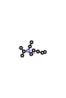 c1ccc(-c2ccc(-c3nc(-c4cc(-c5ccccc5)cc(-c5ccccc5)c4)nc(-c4cccc5oc6c(-c7ccc(-c8ccc9ccccc9c8)cc7)cccc6c45)n3)cc2)cc1